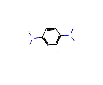 C.C.N#CN(C#N)c1ccc(N(C#N)C#N)cc1